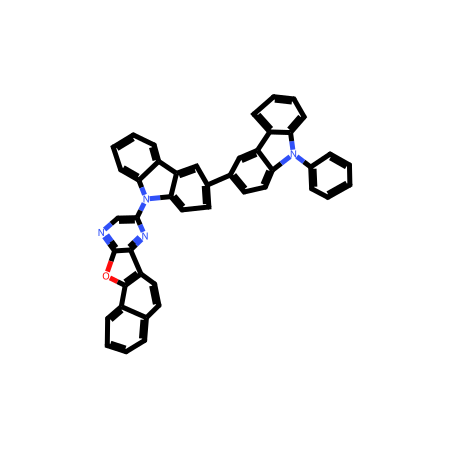 c1ccc(-n2c3ccccc3c3cc(-c4ccc5c(c4)c4ccccc4n5-c4cnc5oc6c7ccccc7ccc6c5n4)ccc32)cc1